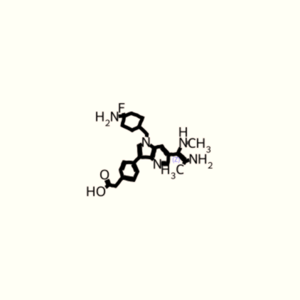 CN/C(=C(/C)N)c1cnc2c(-c3ccc(CC(=O)O)cc3)cn(CC3CCC(N)(F)CC3)c2c1